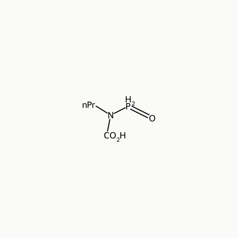 CCCN([PH2]=O)C(=O)O